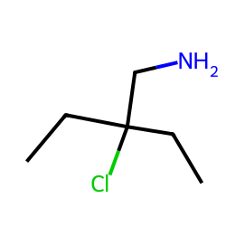 CCC(Cl)(CC)CN